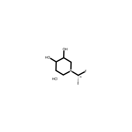 C[C@@H](F)N1CCC(O)C(O)C1.Cl